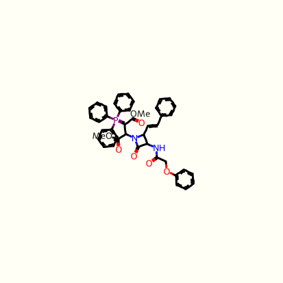 COC(=O)C(C(C(=O)OC)N1C(=O)C(NC(=O)COc2ccccc2)C1C=Cc1ccccc1)=P(c1ccccc1)(c1ccccc1)c1ccccc1